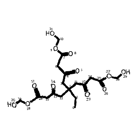 CCC(CC(=O)CC(=O)OCO)(CC(=O)CC(=O)OCO)CC(=O)CC(=O)OCO